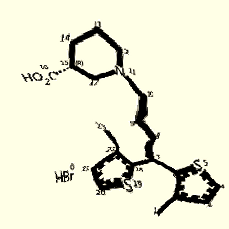 Br.Cc1ccsc1C(=CCCN1CCC[C@@H](C(=O)O)C1)c1sccc1C